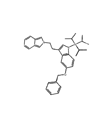 CC(C)[Si](C(C)C)(C(C)C)n1cc(CCn2cc3ccccc3c2)c2cc(OCc3ccccc3)ccc21